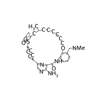 CNCc1cccc2c1OCCCCCCC(C)CC1(CC1)S(=O)(=O)c1ccc(cc1)-c1cnc(N)c(n1)C(=O)N2